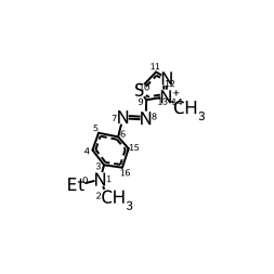 CCN(C)c1ccc(N=Nc2scn[n+]2C)cc1